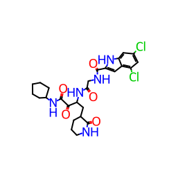 O=C(CNC(=O)c1cc2c(Cl)cc(Cl)cc2[nH]1)NC(CC1CCCNC1=O)C(=O)C(=O)NC1CCCCC1